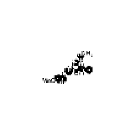 COc1ccc2c(Oc3ccc(NC(=O)c4c([C@H]5COCC5OC(=O)CN)n(C)n(-c5ccccc5)c4=O)nc3)ccnc2c1